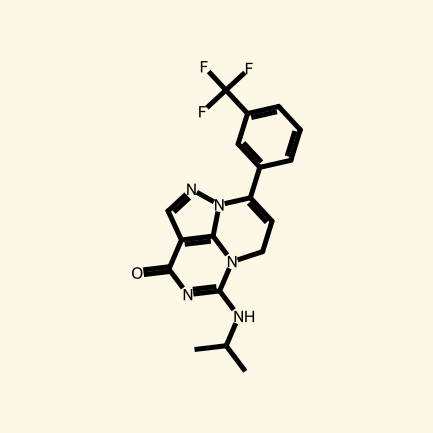 CC(C)Nc1nc(=O)c2cnn3c2n1CC=C3c1cccc(C(F)(F)F)c1